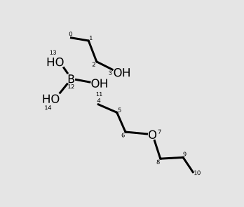 CCCO.CCCOCCC.OB(O)O